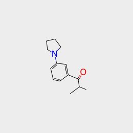 CC(C)C(=O)c1cccc(N2CCCC2)c1